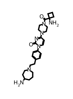 NC1CCCN(CCc2ccc(-n3ccc(N4CCN(C(=O)C5(N)CCC5)CC4)nc3=O)cc2)CC1